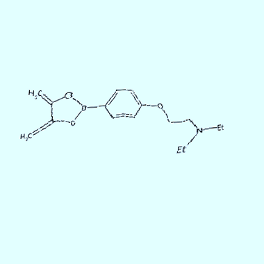 C=C1OB(c2ccc(OCCN(CC)CC)cc2)OC1=C